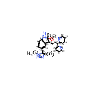 CCOC1(CC)Nc2ccc(-c3c(C)nnn3C)cc2C1CCC(c1ccccn1)c1ccccn1